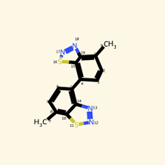 Cc1ccc(-c2ccc(C)c3snnc23)c2snnc12